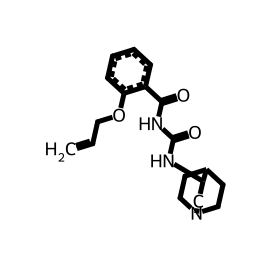 C=CCOc1ccccc1C(=O)NC(=O)NC1CN2CCC1CC2